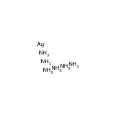 N.N.N.N.N.N.[Ag]